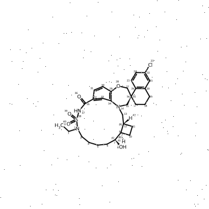 CCN1CCCC[C@H](O)[C@@H]2CC[C@H]2CN2C[C@@]3(CCCc4cc(Cl)ccc43)COc3ccc(cc32)C(=O)NS1(=O)=O